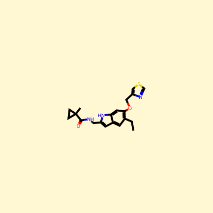 CCc1cc2cc(CNC(=O)C3(C)CC3)[nH]c2cc1OCc1cscn1